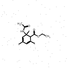 CCOC(=O)C1C(I)=CC(I)=CC1(I)NC(C)=O